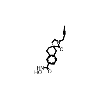 CC#CCN1CC[C@]2(CCc3cc(C(=O)NO)ccc3C2)C1=O